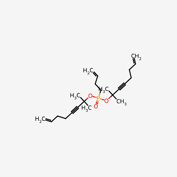 C=CCCC#CC(C)(C)OP(=O)(CCC=C)OC(C)(C)C#CCCC=C